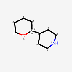 C1CC[SiH](C2CCNCC2)OC1